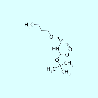 CCCCOC[C@@H](C=O)NC(=O)OC(C)(C)C